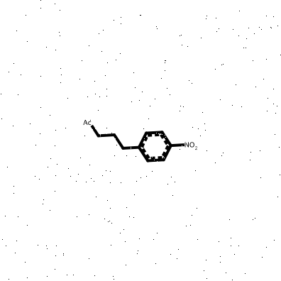 CC(=O)CCCc1ccc([N+](=O)[O-])cc1